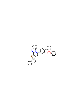 c1ccc2c(c1)ccc1c3cc(-c4ccc(-c5cccc6c5oc5ccccc56)cc4)n4c5ccccc5nc4c3sc21